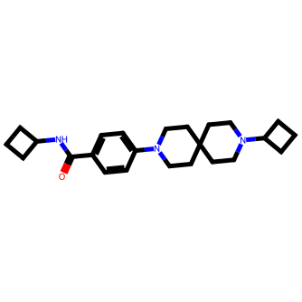 O=C(NC1CCC1)c1ccc(N2CCC3(CC2)CCN(C2CCC2)CC3)cc1